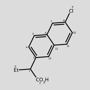 CCC(C(=O)O)c1ccc2cc(Cl)ccc2c1